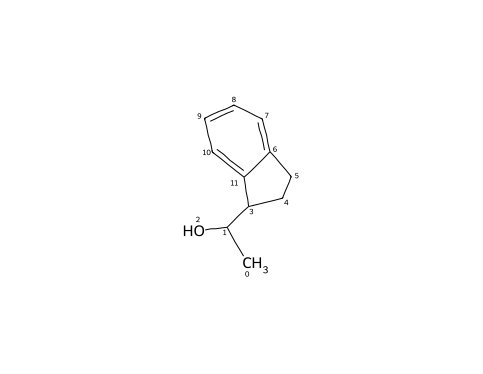 CC(O)C1CCc2ccccc21